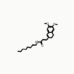 CCCCCCCCNC(=O)C=CC1=Cc2cc(OC)c(OC)cc2CC1